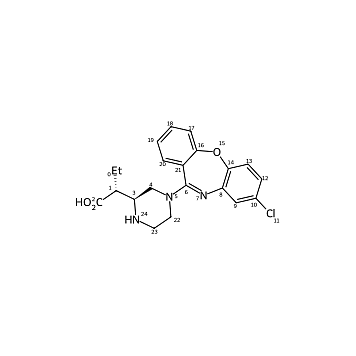 CC[C@@H](C(=O)O)[C@H]1CN(C2=Nc3cc(Cl)ccc3Oc3ccccc32)CCN1